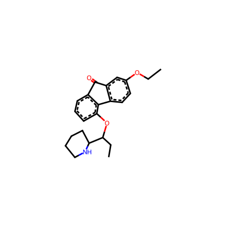 CCOc1ccc2c(c1)C(=O)c1cccc(OC(CC)C3CCCCN3)c1-2